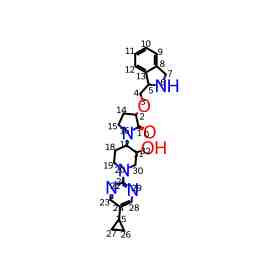 O=C1C(OCC2NCc3ccccc32)CCN1C1CCN(c2ncc(C3CC3)cn2)CC1O